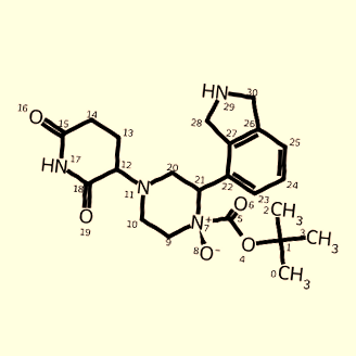 CC(C)(C)OC(=O)[N@+]1([O-])CCN(C2CCC(=O)NC2=O)CC1c1cccc2c1CNC2